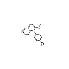 COc1ccc(-c2c(OC)ccc3cnccc23)cc1